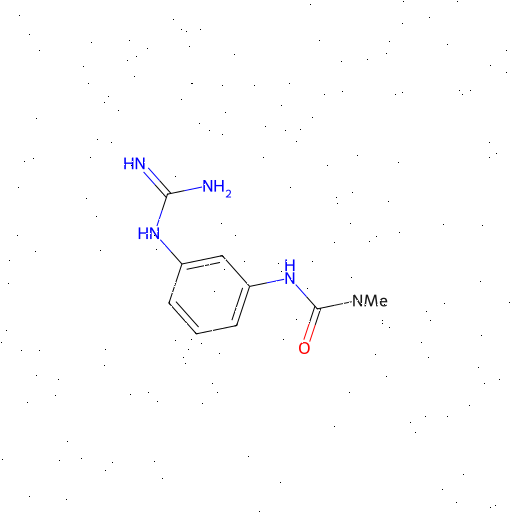 CNC(=O)Nc1cccc(NC(=N)N)c1